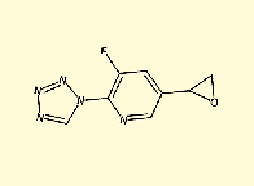 Fc1cc(C2CO2)cnc1-n1cnnn1